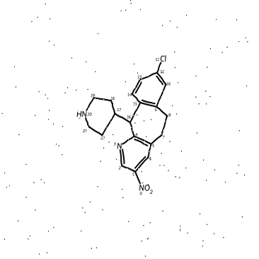 O=[N+]([O-])c1cnc2c(c1)CCc1cc(Cl)ccc1C2C1CCNCC1